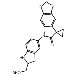 O=CCC1Cc2cc(NC(=O)C3(c4ccc5c(c4)OCO5)CC3)ccc2N1